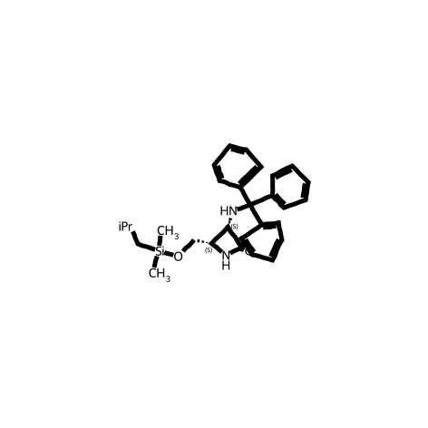 CC(C)C[Si](C)(C)OC[C@H]1NC(=O)[C@H]1NC(c1ccccc1)(c1ccccc1)c1ccccc1